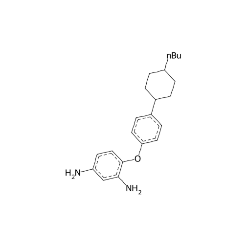 CCCCC1CCC(c2ccc(Oc3ccc(N)cc3N)cc2)CC1